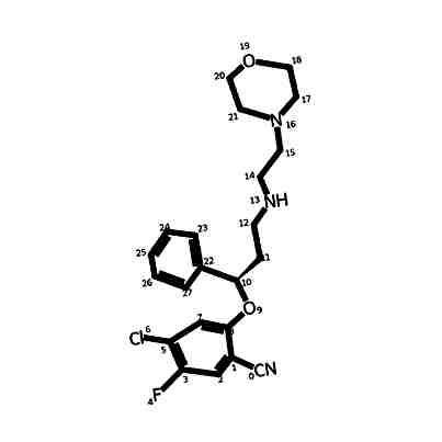 N#Cc1cc(F)c(Cl)cc1O[C@H](CCNCCN1CCOCC1)c1ccccc1